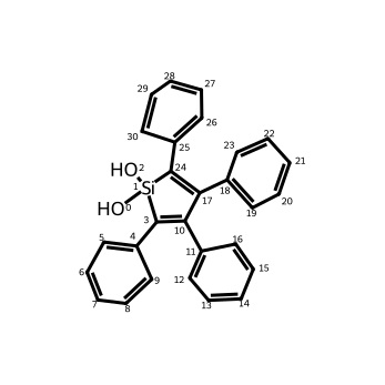 O[Si]1(O)C(c2ccccc2)=C(c2ccccc2)C(c2ccccc2)=C1c1ccccc1